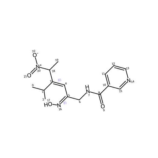 CC(C)/C(=C\C(CNC(=O)c1cccnc1)=N/O)C(C)[N+](=O)[O-]